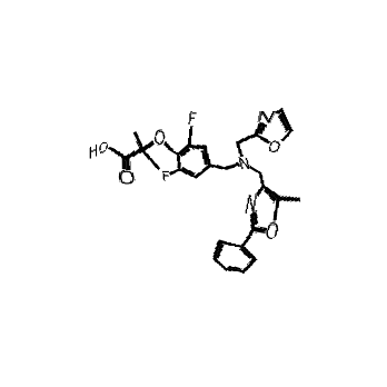 Cc1oc(-c2ccccc2)nc1CN(Cc1cc(F)c(OC(C)(C)C(=O)O)c(F)c1)Cc1ncco1